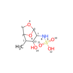 CC1C2COC(O2)C(NS(=O)(=O)O)C1O